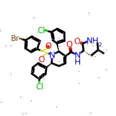 CC(C)C[C@H](NC(=O)C1=CC[C@@H](c2cccc(Cl)c2)N(S(=O)(=O)c2ccc(Br)cc2)[C@H]1c1cccc(Cl)c1)C(N)=O